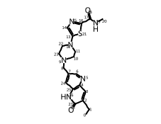 CCc1cc2ncc(CN3CCN(c4cnc(C(=O)NC)s4)CC3)cc2[nH]c1=O